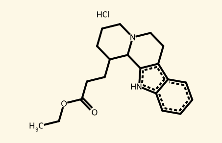 CCOC(=O)CCC1CCCN2CCc3c([nH]c4ccccc34)C12.Cl